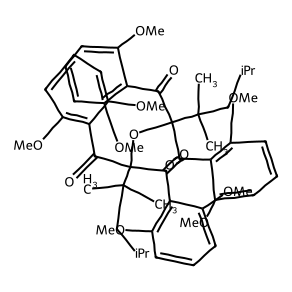 COc1cccc(OC)c1C(=O)C(OC(C(=O)c1c(OC)cccc1OC)(C(=O)c1c(OC)cccc1OC)C(C)(C)CC(C)C)(C(=O)c1c(OC)cccc1OC)C(C)(C)CC(C)C